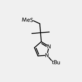 CSCC(C)(C)c1ccn(C(C)(C)C)n1